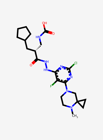 CN1CCN(c2nc(Cl)nc(NNC(=O)[C@@H](CNC(=O)O)CC3CCCC3)c2F)CC12CC2